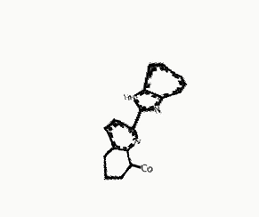 [Co][CH]1CCCc2ccc(-c3nc4ccccc4[nH]3)nc21